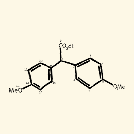 CCOC(=O)C(c1ccc(OC)cc1)c1ccc(OC)cc1